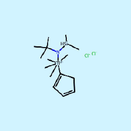 C[SiH](C)[N](C(C)(C)C)[Ti+2]([CH3])([CH3])([CH3])([CH3])[C]1=CC=CC1.[Cl-].[Cl-]